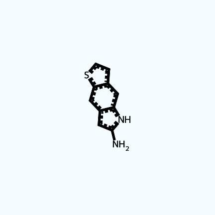 Nc1cc2cc3sccc3cc2[nH]1